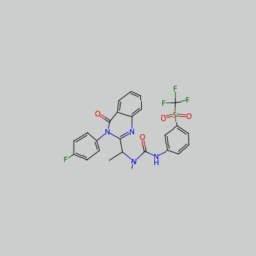 CC(c1nc2ccccc2c(=O)n1-c1ccc(F)cc1)N(C)C(=O)Nc1cccc(S(=O)(=O)C(F)(F)F)c1